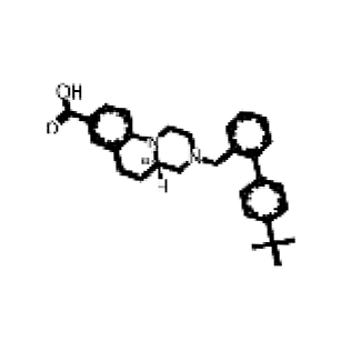 CC(C)(C)c1ccc(-c2ccccc2CN2CCN3c4ccc(C(=O)O)cc4CC[C@H]3C2)cc1